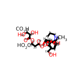 CN1CCC[C@]23c4c5ccc(CO)c4O[C@H]2C(OC(=O)C[C@H](OC(=O)[C@H](O)[C@@H](O)C(=O)O)C(=O)O)=CC[C@@]3(O)[C@H]1C5